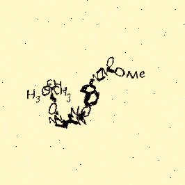 COCC(=O)N1CCN(Cc2ccc3cc(Oc4ncc(-c5ccnn5COCC[Si](C)(C)C)cn4)ccc3c2)CC1